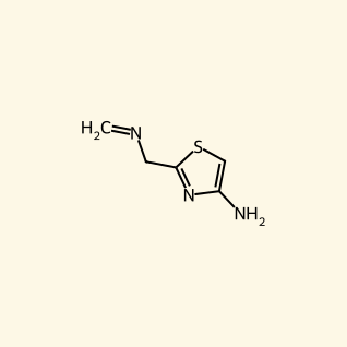 C=NCc1nc(N)cs1